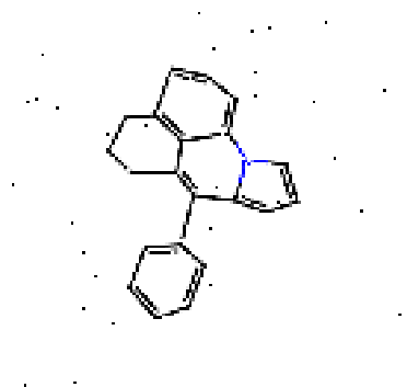 c1ccc(-c2c3c4c(cccc4n4cccc24)CCC3)cc1